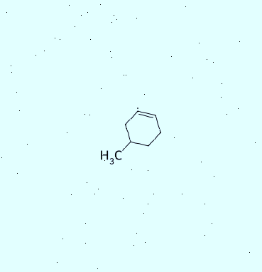 CC1C[C]=CCC1